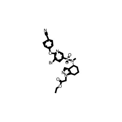 CCOC(=O)Cn1ncc2c1CCC[C@H]2N(C)S(=O)(=O)c1cnc(Oc2ccc(C#N)cc2)c(Br)c1